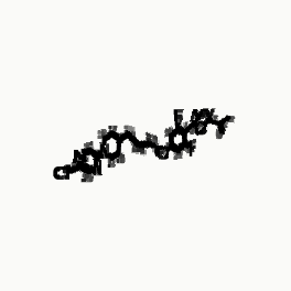 CC(C)c1nnc(-c2c(F)cc(OCCCC3CCN(c4cnc(Cl)cn4)CC3)cc2F)o1